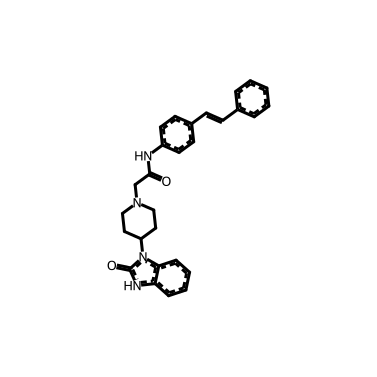 O=C(CN1CCC(n2c(=O)[nH]c3ccccc32)CC1)Nc1ccc(C=Cc2ccccc2)cc1